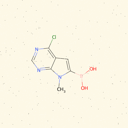 Cn1c(B(O)O)cc2c(Cl)ncnc21